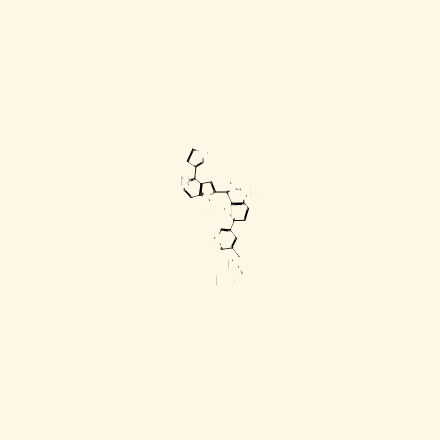 CCNCc1cncc(-c2ccc3[nH]nc(-c4cc5c(-c6ccoc6)nccc5[nH]4)c3n2)c1